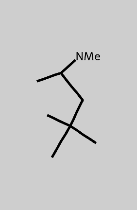 CNC(C)CC(C)(C)C